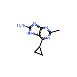 Cc1nc(C2CC2)c2[nH]c(N)nc2n1